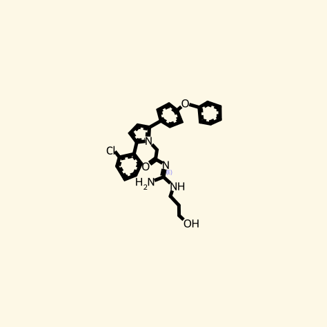 N/C(=N\C(=O)Cn1c(-c2ccc(Oc3ccccc3)cc2)ccc1-c1ccccc1Cl)NCCCO